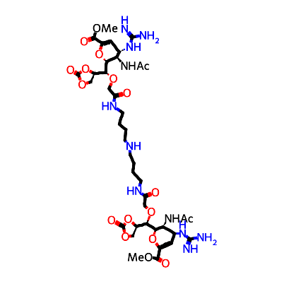 COC(=O)C1=C[C@H](NC(=N)N)[C@@H](NC(C)=O)[C@H]([C@H](OCC(=O)NCCCCNCCCCNC(=O)CO[C@@H]([C@@H]2OC(C(=O)OC)=C[C@H](NC(=N)N)[C@H]2NC(C)=O)[C@H]2COC(=O)O2)[C@H]2COC(=O)O2)O1